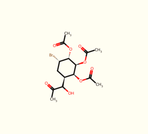 CC(=O)O[C@H]1[C@@H](OC(C)=O)[C@@H](C(O)C(C)=O)C[C@H](Br)[C@@H]1OC(C)=O